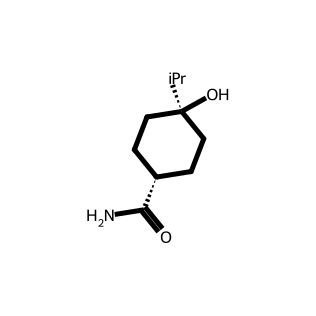 CC(C)[C@]1(O)CC[C@H](C(N)=O)CC1